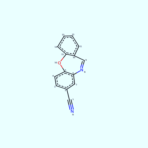 N#Cc1ccc2c(c1)N=Cc1ccccc1O2